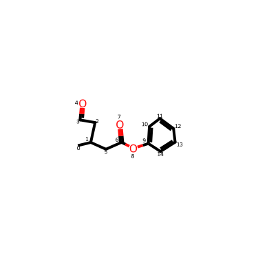 CC(CC=O)CC(=O)Oc1ccccc1